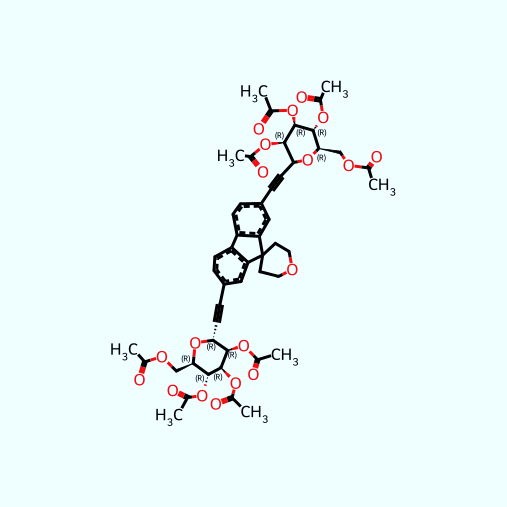 CC(=O)OC[C@H]1O[C@H](C#Cc2ccc3c(c2)C2(CCOCC2)c2cc(C#CC4O[C@H](COC(C)=O)[C@@H](OC(C)=O)[C@H](OC(C)=O)[C@@H]4OC(C)=O)ccc2-3)[C@@H](OC(C)=O)[C@@H](OC(C)=O)[C@@H]1OC(C)=O